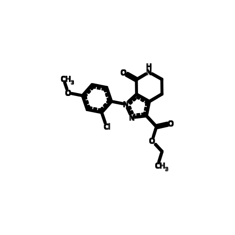 CCOC(=O)c1nn(-c2ccc(OC)cc2Cl)c2c1CCNC2=O